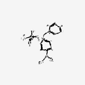 CCN(CC)c1cc[n+](Cc2ccccc2)cc1.O=S(=O)([O-])C(F)(F)F